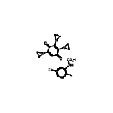 Cc1ccc(Cl)cc1NC(=O)O.O=C1C=C(N2CC2)C(=O)C(N2CC2)=C1N1CC1